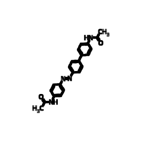 CC(=O)Nc1ccc(N=Nc2ccc(-c3ccc(NC(C)=O)cc3)cc2)cc1